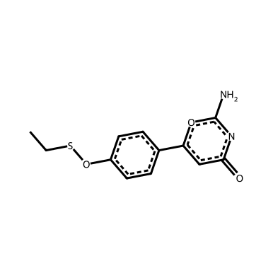 CCSOc1ccc(-c2cc(=O)nc(N)o2)cc1